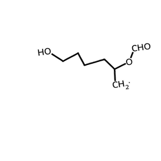 [CH2]C(CCCCO)OC=O